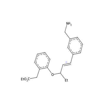 CCOC(=O)Cc1ccccc1OC(/C=C/c1cccc(CN)c1)CC